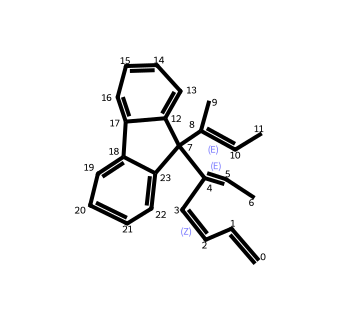 C=C/C=C\C(=C/C)C1(/C(C)=C/C)c2ccccc2-c2ccccc21